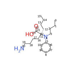 CCCCN(c1ccccc1)[C@@](CCCC)(CCCCN)C(=O)O